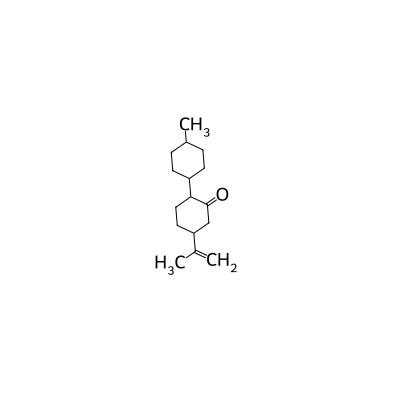 C=C(C)C1CCC(C2CCC(C)CC2)C(=O)C1